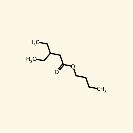 CCCCOC(=O)CC(CC)CC